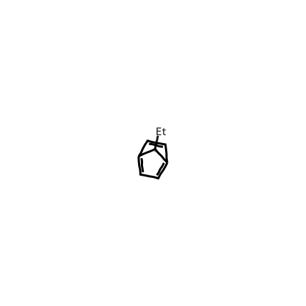 CC[C]1C2=CC=C1C=C2